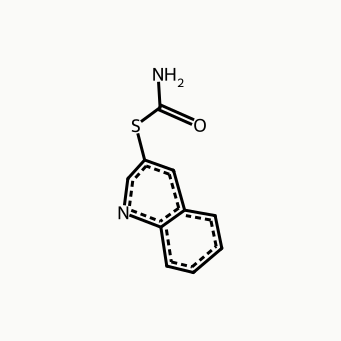 NC(=O)Sc1cnc2ccccc2c1